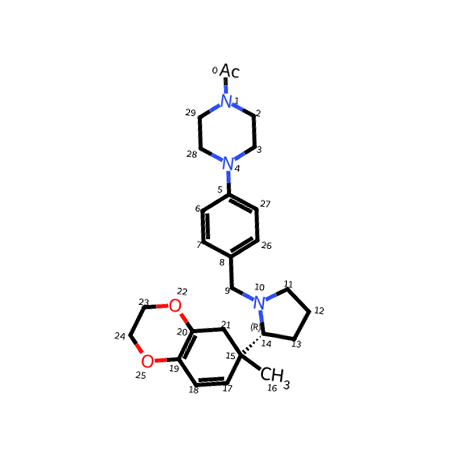 CC(=O)N1CCN(c2ccc(CN3CCC[C@@H]3C3(C)C=CC4=C(C3)OCCO4)cc2)CC1